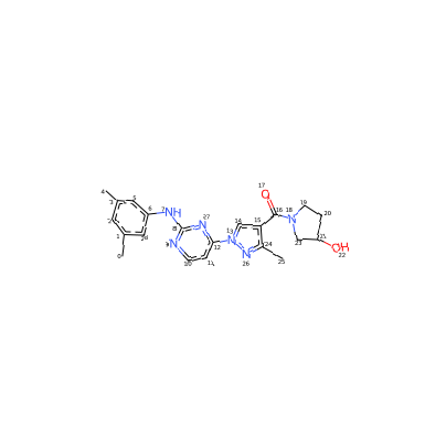 Cc1cc(C)cc(Nc2nccc(-n3cc(C(=O)N4CCC(O)C4)c(C)n3)n2)c1